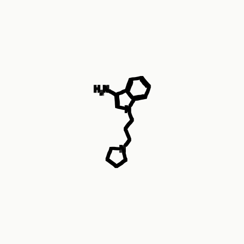 Nc1cn(CCCN2CCCC2)c2ccccc12